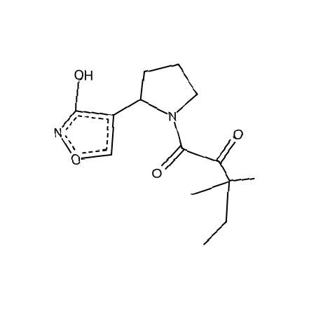 CCC(C)(C)C(=O)C(=O)N1CCCC1c1conc1O